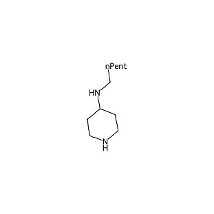 CCCCCCNC1CCNCC1